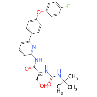 CC(C)(C)NC(=O)N[C@@H](CO)C(=O)Nc1cccc(-c2ccc(Oc3ccc(F)cc3)cc2)n1